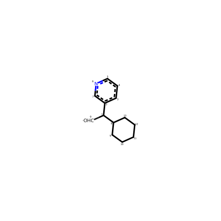 O=[C]C(c1cccnc1)C1CCCCC1